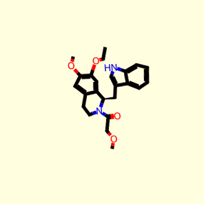 CCOc1cc2c(cc1OC)CCN(C(=O)COC)[C@@H]2Cc1c[nH]c2ccccc12